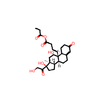 CCC(=O)OC(=O)CCC[C@]12[C@@H](O)C[C@@]3(C)[C@@H](CC[C@]3(O)C(=O)CO)[C@@H]1CCC1=CC(=O)CC[C@@]12C